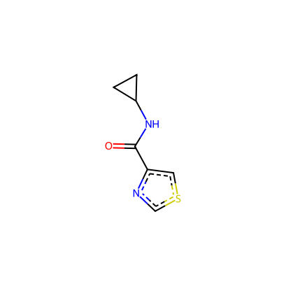 O=C(NC1CC1)c1cscn1